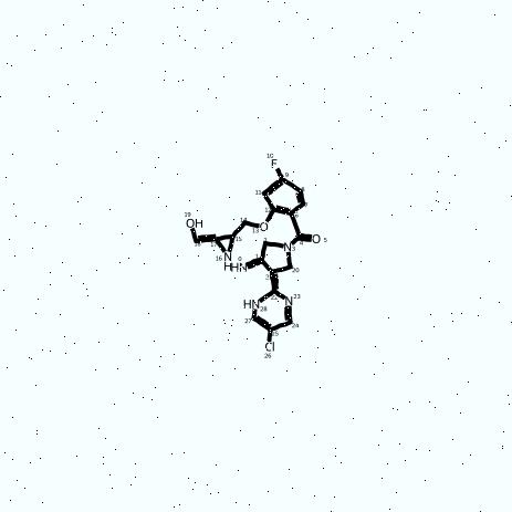 N=C1CN(C(=O)c2ccc(F)cc2OCC2N/C2=C/O)C/C1=C1\N=CC(Cl)=CN1